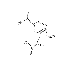 O=C(Cl)C(=O)c1cc(C(=O)Cl)ccc1Cl